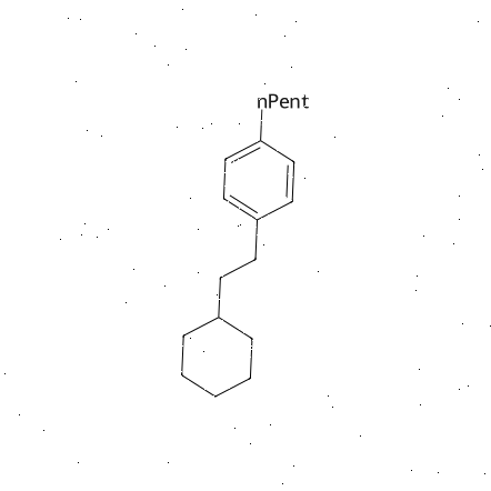 CCCCCc1ccc(CCC2CCCCC2)cc1